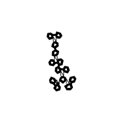 c1ccc2c(c1)c1ccccc1n2-c1ccc(-c2ccc(-n3c4ccccc4c4c(-c5cccc6c5c5ccccc5n6-c5cc(-n6c7ccccc7c7ccccc76)cc(-n6c7ccccc7c7ccccc76)c5)cccc43)cc2)cc1